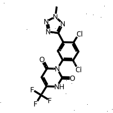 Cn1nnc(-c2cc(-n3c(=O)cc(C(F)(F)F)[nH]c3=O)c(Cl)cc2Cl)n1